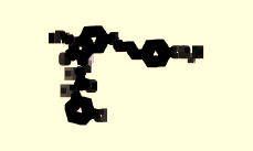 CCCN1C(=O)/C(=N\NC(=O)Nc2cccc(Cl)c2)c2cc(SCCCc3ccc(C(=O)O)cc3)ccc21